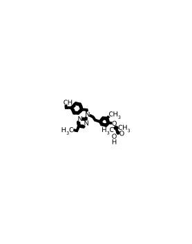 CCc1ccc(CN(CCc2ccc(OC(C)(C)C(=O)O)c(C)c2)c2ncc(CC)cn2)cc1